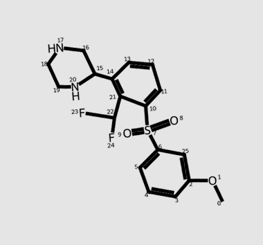 COc1cccc(S(=O)(=O)c2cccc(C3CNCCN3)c2C(F)F)c1